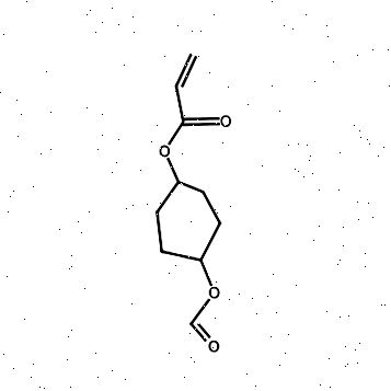 C=CC(=O)OC1CCC(OC=O)CC1